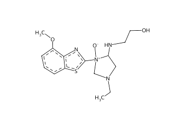 CCN1CC(NCCO)[N+]([O-])(c2nc3c(OC)cccc3s2)C1